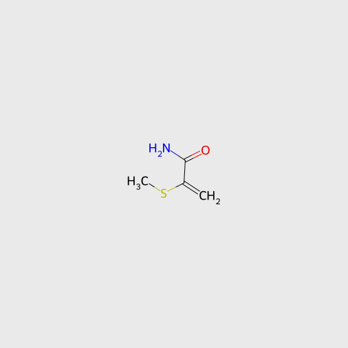 C=C(SC)C(N)=O